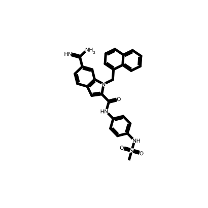 CS(=O)(=O)Nc1ccc(NC(=O)c2cc3ccc(C(=N)N)cc3n2Cc2cccc3ccccc23)cc1